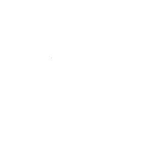 C=CC(=O)NCCNC(=O)OC1/C=C(/[N+]2([O-])CCN(C(=O)C=C)CC2)CCCCC1